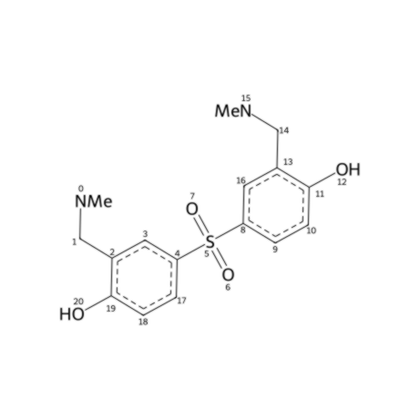 CNCc1cc(S(=O)(=O)c2ccc(O)c(CNC)c2)ccc1O